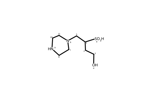 O=S(=O)(O)C(CCO)CN1CCNCC1